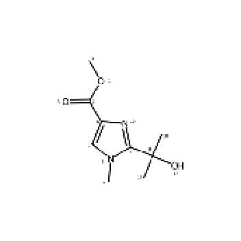 COC(=O)c1cn(C)c(C(C)(C)O)n1